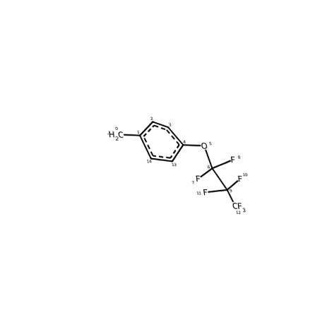 [CH2]c1ccc(OC(F)(F)C(F)(F)C(F)(F)F)cc1